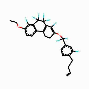 C=CCCc1ccc(C(F)(F)OC2=C(F)C3=C(CC2)c2ccc(OCC)c(F)c2C(F)(F)C3(F)F)cc1F